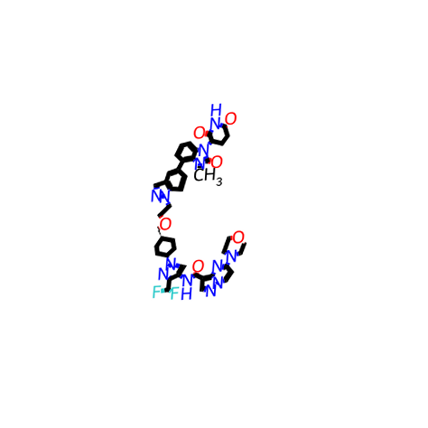 Cn1c(=O)n(C2CCC(=O)NC2=O)c2cccc(-c3ccc4c(cnn4CCOC[C@H]4CC[C@H](n5cc(NC(=O)c6cnn7ccc(N8CCOCC8)nc67)c(C(F)F)n5)CC4)c3)c21